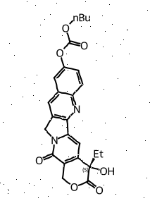 CCCCOC(=O)Oc1ccc2nc3c(cc2c1)Cn1c-3cc2c(c1=O)COC(=O)[C@]2(O)CC